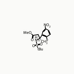 COC(=O)C[C@](C)(NS(=O)(=O)C(C)(C)C)c1cc([N+](=O)[O-])ccc1F